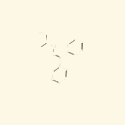 O=C(CCl)NN=C(c1ccccc1)c1ccccc1